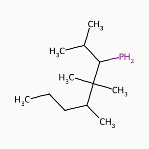 CCCC(C)C(C)(C)C(P)C(C)C